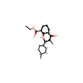 CCOC(=O)c1cccc2c(=O)c(C)c(C3CCC(C)CC3)oc12